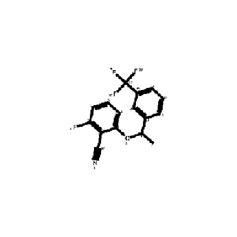 CC(Oc1cccc(F)c1C#N)c1cccc(C(F)(F)F)c1